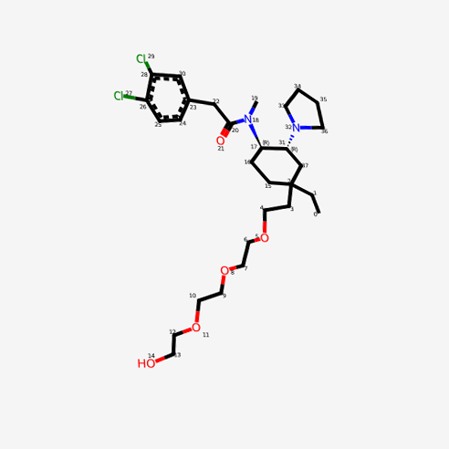 CCC1(CCOCCOCCOCCO)CC[C@@H](N(C)C(=O)Cc2ccc(Cl)c(Cl)c2)[C@H](N2CCCC2)C1